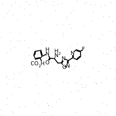 N[C@@H](Cc1nc(-c2ccc(F)cn2)no1)C(=O)Nc1ccccc1C(=O)O